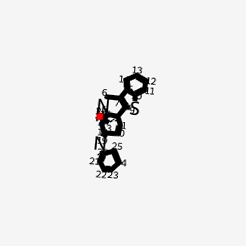 C1=C[C@]23CCN(Cc4c2sc2ccccc42)[C@H]3C/C1=N/c1ccccc1